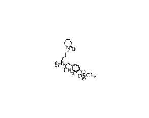 CCN(CCCCN1CCCCCC1=O)C(C)Cc1ccc(OS(=O)(=O)C(F)(F)F)cc1